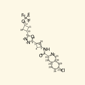 O=C(NC12CC(c3nnc(C4CC(OC(F)(F)F)C4)o3)(C1)C2)c1cc2ccc(Cl)cc2cn1